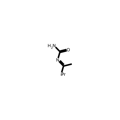 CC(=NC(N)=O)C(C)C